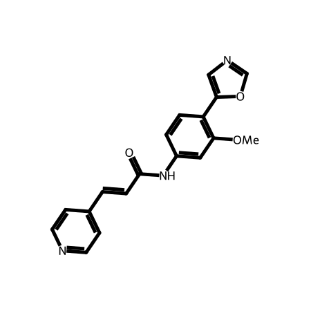 COc1cc(NC(=O)/C=C/c2ccncc2)ccc1-c1cnco1